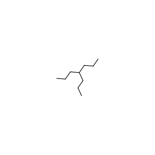 CC[CH]C(CCC)CCC